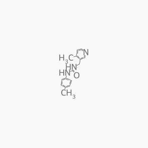 Cc1ccc(NC(=O)NCc2cnccc2C)cc1